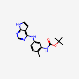 Cc1ccc(Nc2ncnc3[nH]ccc23)cc1NC(=O)OC(C)(C)C